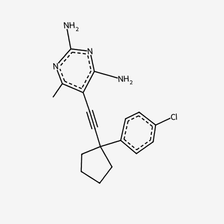 Cc1nc(N)nc(N)c1C#CC1(c2ccc(Cl)cc2)CCCC1